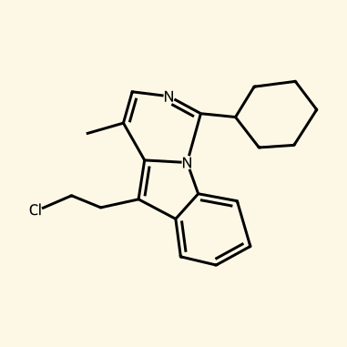 Cc1cnc(C2CCCCC2)n2c1c(CCCl)c1ccccc12